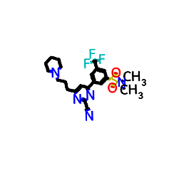 CN(C)S(=O)(=O)c1cc(-c2cc(CCCN3CCCCC3)nc(C#N)n2)cc(C(F)(F)F)c1